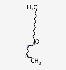 CC/C=C\C/C=C\C[C@@H]1OC1CCCCCCCCCCC